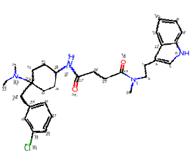 CN(CCc1c[nH]c2ccccc12)C(=O)CCC(=O)NC1CCC(Cc2cccc(Cl)c2)(N(C)C)CC1